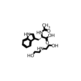 CC(=O)N[C@@H](Cc1c[nH]c2ccccc12)C(=O)O.OCCNCCO